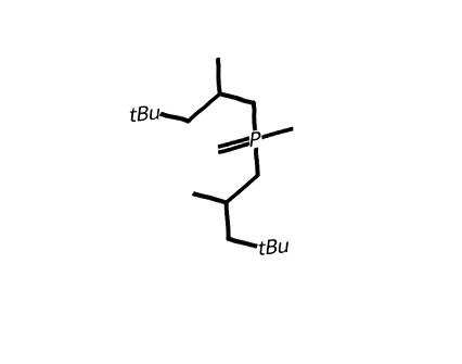 C=P(C)(CC(C)CC(C)(C)C)CC(C)CC(C)(C)C